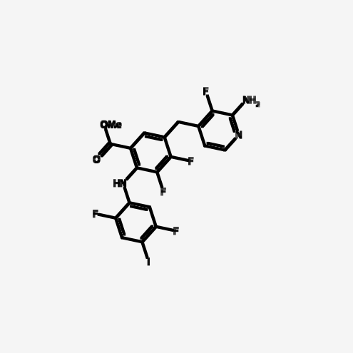 COC(=O)c1cc(Cc2ccnc(N)c2F)c(F)c(F)c1Nc1cc(F)c(I)cc1F